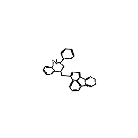 C1=C2C(=CCC1)c1ccc(CC3CC(c4ccccc4)=Nc4ccccc43)c3cccc2c13